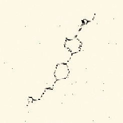 CCOc1ccc(C2CCC(C=CCOC)CC2)cc1